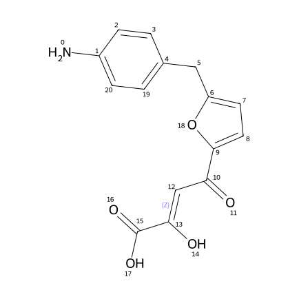 Nc1ccc(Cc2ccc(C(=O)/C=C(\O)C(=O)O)o2)cc1